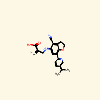 C=C(CNc1cc(-c2ccc(C(C)C)cn2)c2c(c1C#N)CCO2)C(=O)O